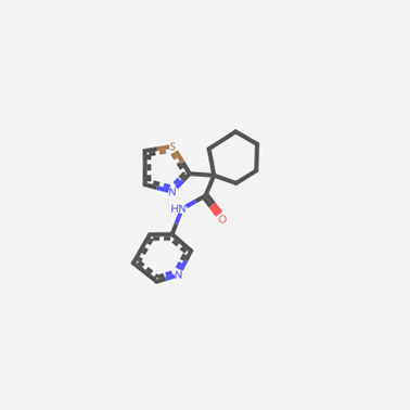 O=C(Nc1cccnc1)C1(c2nccs2)CCCCC1